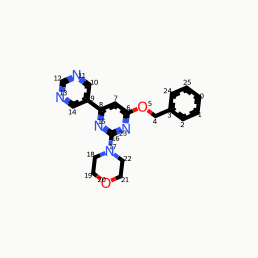 c1ccc(COc2cc(-c3cncnc3)nc(N3CCOCC3)n2)cc1